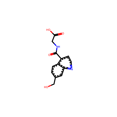 O=C(O)CNC(=O)c1ccnc2cc(CO)ccc12